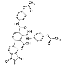 CC(=O)Oc1ccc(NC(=N)c2c(C(=O)Nc3ccc(OC(C)=O)cc3)ccc(-c3ccc4c(c3)C(=O)NC4=O)c2C(=O)O)cc1